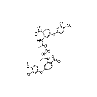 COc1ccc(Oc2ccc([N+](=O)[O-])c(NC(C)O[PH](=O)OC(C)Nc3cc(Oc4ccc(OC)c(Cl)c4)ccc3[N+](=O)[O-])c2)cc1Cl